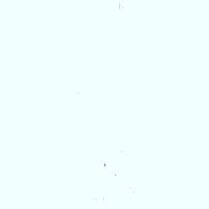 Cc1ncc2oc(-c3ccc(NC(=O)Cc4ccc(C#N)cc4)cc3)nn12